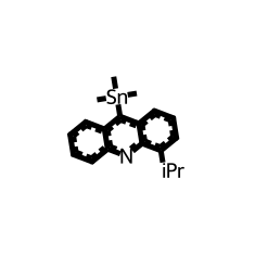 CC(C)c1cccc2[c]([Sn]([CH3])([CH3])[CH3])c3ccccc3nc12